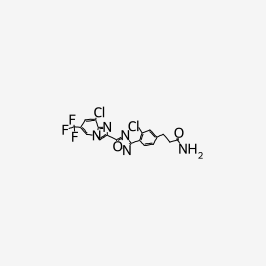 NC(=O)CCc1ccc(-c2noc(-c3cn4cc(C(F)(F)F)cc(Cl)c4n3)n2)c(Cl)c1